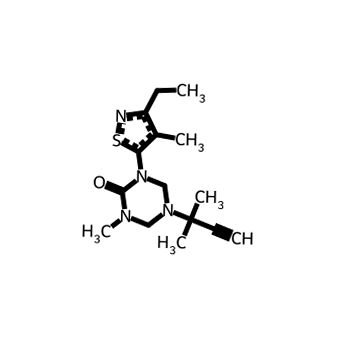 C#CC(C)(C)N1CN(C)C(=O)N(c2snc(CC)c2C)C1